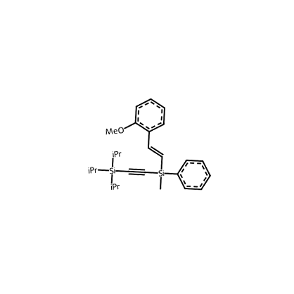 COc1ccccc1/C=C/[Si](C)(C#C[Si](C(C)C)(C(C)C)C(C)C)c1ccccc1